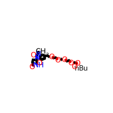 CCCCOC(=O)COCCOCCOCCOCCc1ccc2c(c1)n(C)c(=O)n2C1CCC(=O)NC1=O